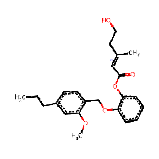 CCCc1ccc(COc2ccccc2OC(=O)/C=C(\C)CCO)c(OC)c1